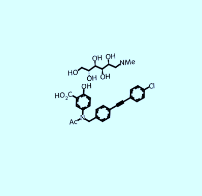 CC(=O)N(Cc1ccc(C#Cc2ccc(Cl)cc2)cc1)c1ccc(O)c(C(=O)O)c1.CNC[C@H](O)[C@@H](O)[C@H](O)[C@H](O)CO